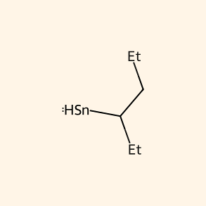 CCC[CH]([SnH])CC